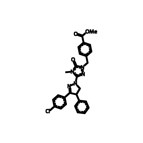 COC(=O)c1ccc(Cn2nc(N3CC(c4ccccc4)C(c4ccc(Cl)cc4)=N3)n(C)c2=O)cc1